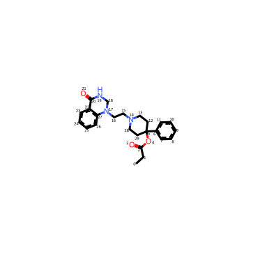 CCC(=O)OC1(c2ccccc2)CCN(CCN2CNC(=O)c3ccccc32)CC1